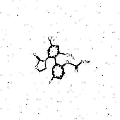 CNC(=O)Oc1ccc(F)cc1-c1c(C)cc(C(F)(F)F)cc1N1CCOC1=O